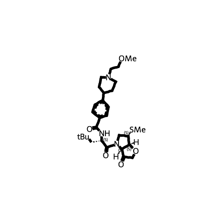 COCCN1CCC(c2ccc(C(=O)N[C@@H](CC(C)(C)C)C(=O)N3C[C@H](SC)[C@H]4OCC(=O)[C@H]43)cc2)CC1